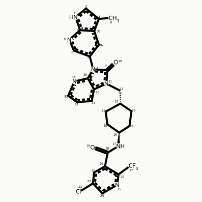 Cc1c[nH]c2ncc(-n3c(=O)n(C[C@H]4CC[C@H](NC(=O)c5cc(Cl)cnc5C(F)(F)F)CC4)c4cccnc43)cc12